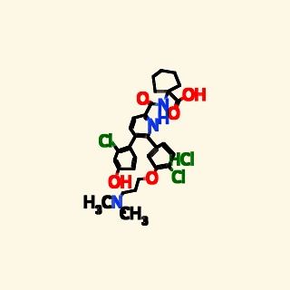 CN(C)CCCOc1cc(-c2nc(C(=O)NC3(C(=O)O)CCCCC3)ccc2-c2ccc(O)cc2Cl)ccc1Cl.Cl